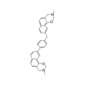 CN1COc2c(ccc3ccc(Cc4ccc(-c5ccc6ccc7c(c6c5)OCN(C)C7)cc4)cc23)C1